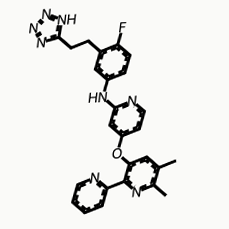 Cc1cc(Oc2ccnc(Nc3ccc(F)c(CCc4nnn[nH]4)c3)c2)c(-c2ccccn2)nc1C